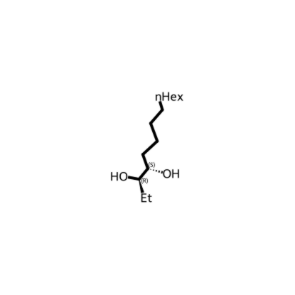 CCCCCCCCCC[C@H](O)[C@H](O)CC